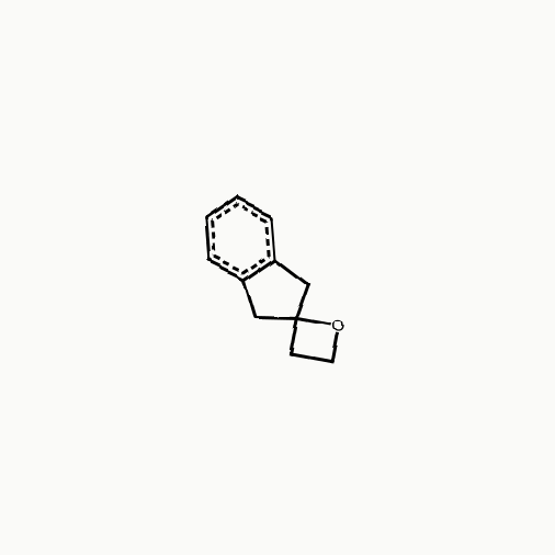 c1ccc2c(c1)CC1(CCO1)C2